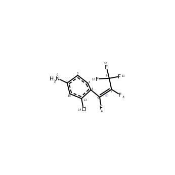 Nc1ccc(/C(F)=C(/F)C(F)(F)F)c(Cl)c1